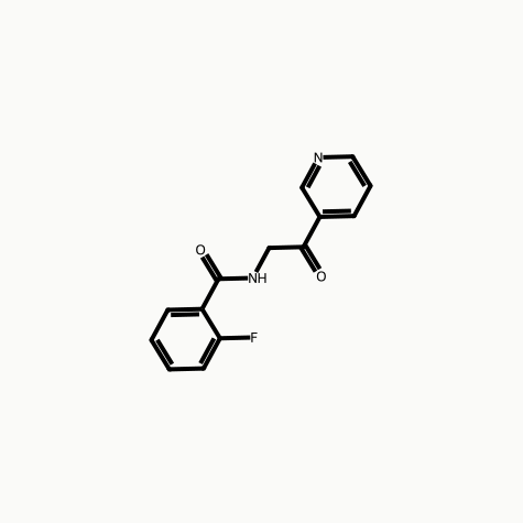 O=C(CNC(=O)c1ccccc1F)c1cccnc1